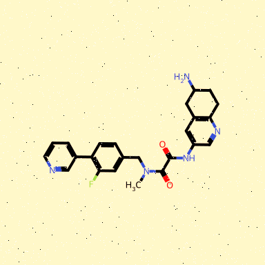 CN(Cc1ccc(-c2cccnc2)c(F)c1)C(=O)C(=O)Nc1cnc2c(c1)CC(N)CC2